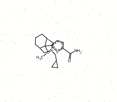 COC1(c2ccc(C(N)=O)s2)C2CCCC1CN(CC1CC1)C2